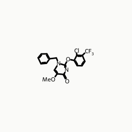 COc1cn(Cc2ccccc2)c(Oc2cccc(C(F)(F)F)c2Cl)nc1=O